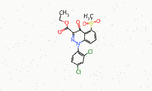 CCOC(=O)c1nn(-c2ccc(Cl)cc2Cl)c2cccc(S(C)(=O)=O)c2c1=O